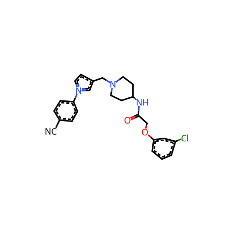 N#Cc1ccc(-n2ccc(CN3CCC(NC(=O)COc4cccc(Cl)c4)CC3)c2)cc1